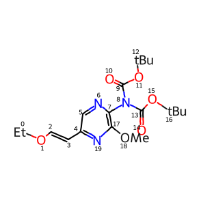 CCO/C=C/c1cnc(N(C(=O)OC(C)(C)C)C(=O)OC(C)(C)C)c(OC)n1